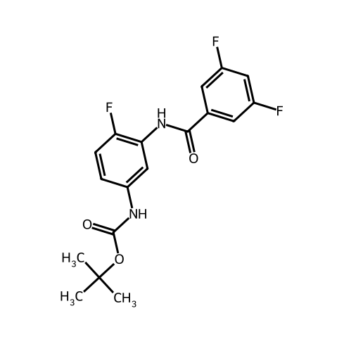 CC(C)(C)OC(=O)Nc1ccc(F)c(NC(=O)c2cc(F)cc(F)c2)c1